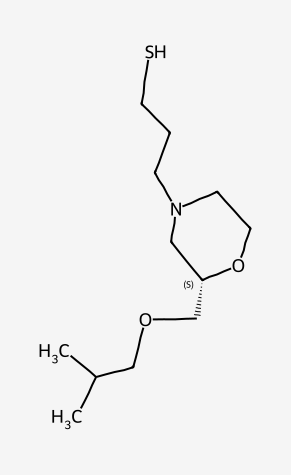 CC(C)COC[C@@H]1CN(CCCS)CCO1